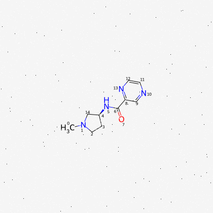 CN1CC[C@H](NC(=O)c2cnccn2)C1